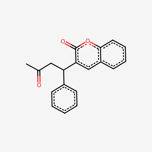 CC(=O)CC(c1ccccc1)c1cc2ccccc2oc1=O